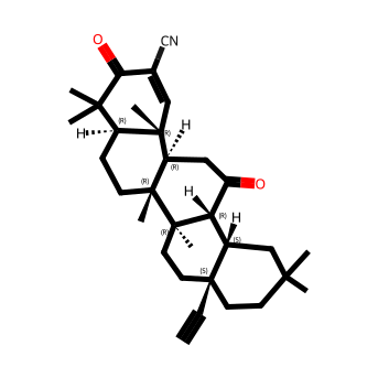 C#C[C@]12CCC(C)(C)C[C@H]1[C@H]1C(=O)C[C@@H]3[C@@]4(C)C=C(C#N)C(=O)C(C)(C)[C@@H]4CC[C@@]3(C)[C@]1(C)CC2